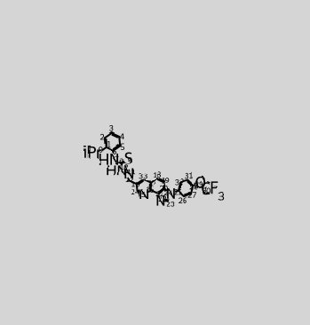 CC(C)c1ccccc1NC(=S)NN=Cc1cnc2c(ccc3c2ncn3-c2ccc(OC(F)(F)F)cc2)c1